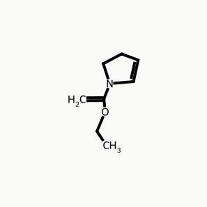 C=C(OCC)N1C=CCC1